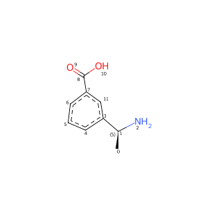 C[C@H](N)c1cccc(C(=O)O)c1